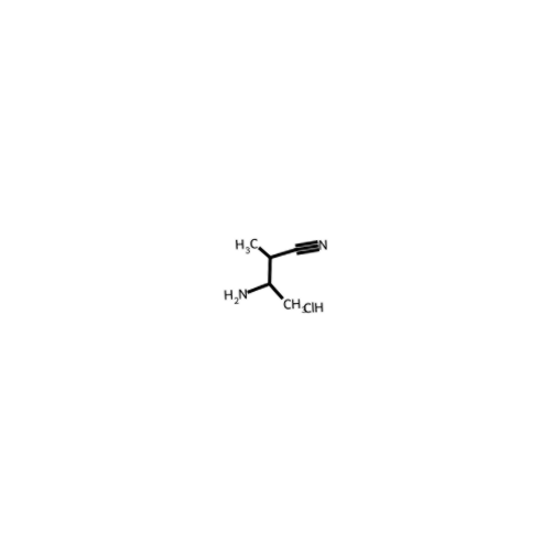 CC(N)C(C)C#N.Cl